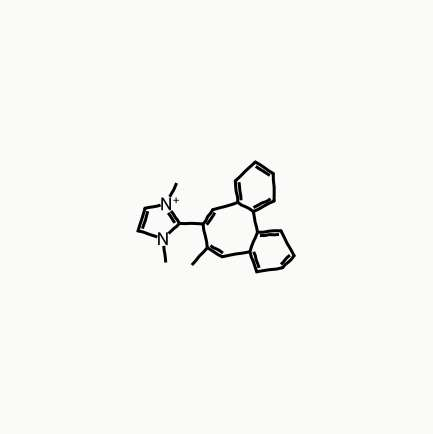 CC1=C/c2ccccc2-c2ccccc2/C=C\1c1n(C)cc[n+]1C